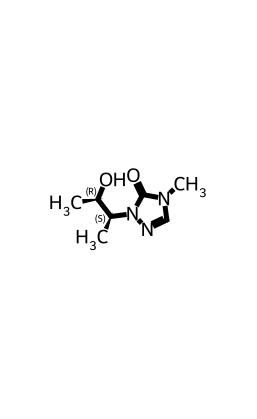 C[C@@H](O)[C@H](C)n1ncn(C)c1=O